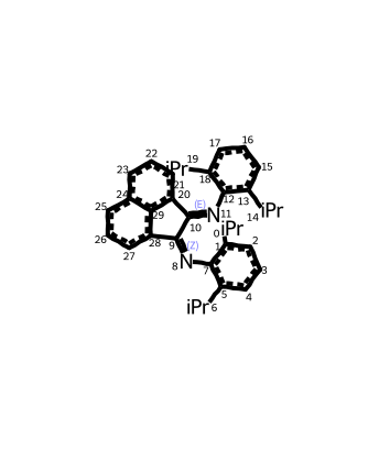 CC(C)c1cccc(C(C)C)c1/N=C1\C(=N\c2c(C(C)C)cccc2C(C)C)c2cccc3cccc1c23